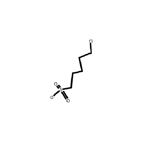 [O]S(=O)(=O)CCCCCCl